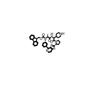 C[C@@H](C(=O)N[C@H](C(=O)N1CCC[C@H]1c1nc2c(-c3ccccc3)nccc2s1)C1CCNCC1)N(C)C(=O)OCC1c2ccccc2-c2ccccc21